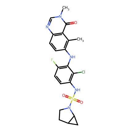 Cc1c(Nc2c(F)ccc(NS(=O)(=O)N3CCC4CC43)c2Cl)ccc2ncn(C)c(=O)c12